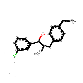 CC(C)(C)Cc1ccc(CC(C(=O)O)C(O)c2cccc(Cl)c2)cc1